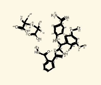 CCNC(=O)c1ccccc1-c1c[nH]c(C(Nc2ccc(C(=N)N)cc2)c2cc(OCC)cc(OC(C)C)c2F)n1.O=C(O)C(F)(F)F.O=C(O)C(F)(F)F